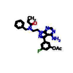 C=CC(=O)N(CCn1nc(-c2cc(F)cc(OC(C)=O)c2)c2c(N)ncnc21)Cc1ccccc1